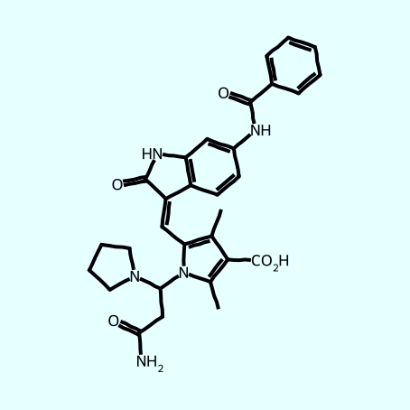 Cc1c(C(=O)O)c(C)n(C(CC(N)=O)N2CCCC2)c1C=C1C(=O)Nc2cc(NC(=O)c3ccccc3)ccc21